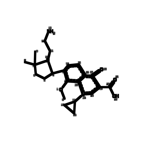 COc1c(C2CCC(C)(C)N2CCN)ccc2c(=O)c(C(=O)O)cn(C3CC3)c12